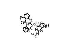 CC(Nc1nc(N)nc2[nH]cnc12)c1nc2cccc(F)c2c(=O)n1-c1ccccc1